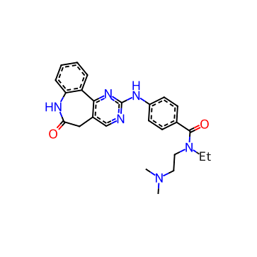 CCN(CCN(C)C)C(=O)c1ccc(Nc2ncc3c(n2)-c2ccccc2NC(=O)C3)cc1